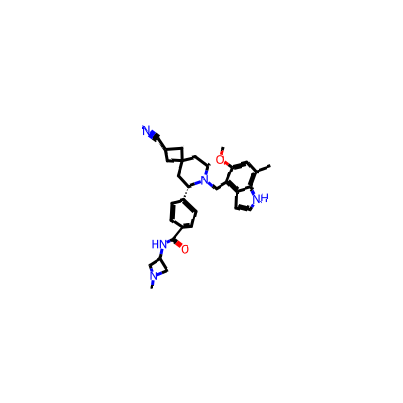 COc1cc(C)c2[nH]ccc2c1CN1CCC2(CC(C#N)C2)C[C@H]1c1ccc(C(=O)NC2CN(C)C2)cc1